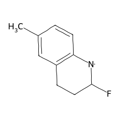 Cc1ccc2c(c1)CCC(F)[N]2